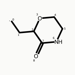 [CH2]CC1OCCNC1=O